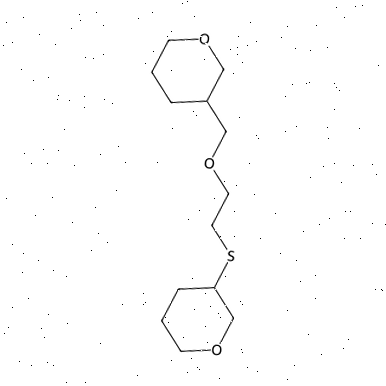 C1COCC(COCCSC2CCCOC2)C1